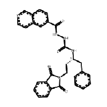 O=C(NNC(=S)N[C@@H](CCN1C(=O)c2ccccc2C1=O)Cc1ccccc1)c1ccc2cnccc2c1